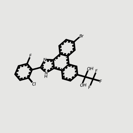 OC(O)(c1ccc2c(c1)c1cc(Br)ccc1c1nc(-c3c(F)cccc3Cl)[nH]c21)C(F)(F)F